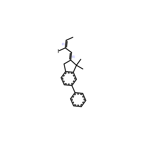 C/C=C(I)\C=C1/Cc2ccc(-c3ccccc3)cc2C1(C)C